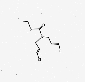 CCSC(=O)N(CC=CCl)CC=CCl